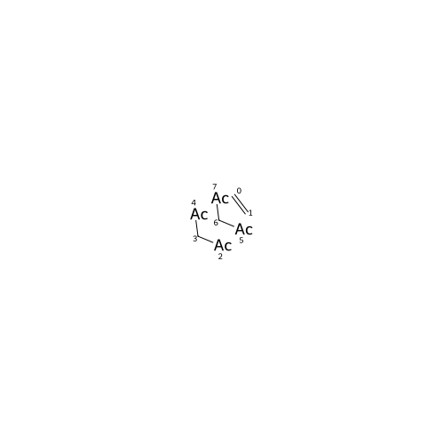 C=C.CC(=O)CC(C)=O.CC(=O)CC(C)=O